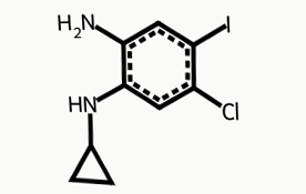 Nc1cc(I)c(Cl)cc1NC1CC1